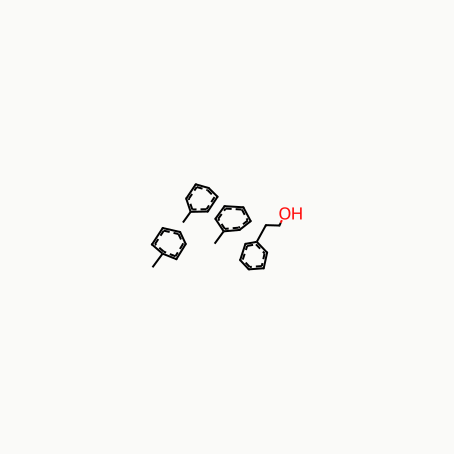 Cc1ccccc1.Cc1ccccc1.Cc1ccccc1.OCCc1ccccc1